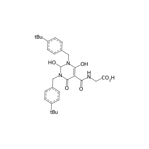 CC(C)(C)c1ccc(CN2C(=O)C(C(=O)NCC(=O)O)=C(O)N(Cc3ccc(C(C)(C)C)cc3)C2O)cc1